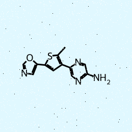 Cc1sc(-c2cnco2)cc1-c1cnc(N)cn1